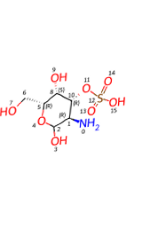 N[C@H]1C(O)O[C@H](CO)[C@H](O)[C@@H]1OS(=O)(=O)O